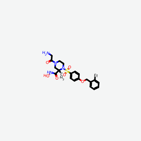 CCc1ccccc1COc1ccc(S(=O)(=O)N2CCN(C(=O)CN)CC2(C)C(=O)NO)cc1